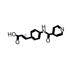 O=C(O)/C=C/c1ccc(NC(=O)c2ccncc2)cc1